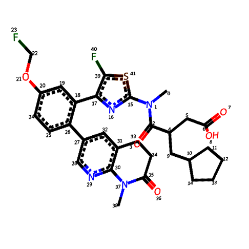 CN(C(=O)C(CC(=O)O)CC1CCCC1)c1nc(-c2cc(OCF)ccc2-c2cnc3c(c2)CCC(=O)N3C)c(F)s1